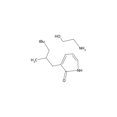 CC(Cc1ccc[nH]c1=O)CC(C)(C)C.NCCO